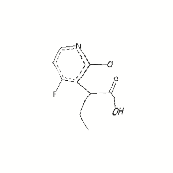 CCC(C(=O)O)c1c(F)ccnc1Cl